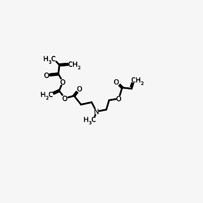 C=CC(=O)OCCN(C)CCC(=O)OC(=C)OC(=O)C(=C)C